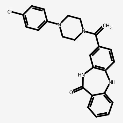 C=C(c1ccc2c(c1)NC(=O)c1ccccc1N2)N1CCN(c2ccc(Cl)cc2)CC1